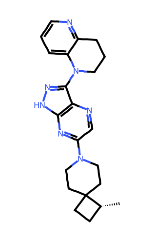 C[C@@H]1CCC12CCN(c1cnc3c(N4CCCc5ncccc54)n[nH]c3n1)CC2